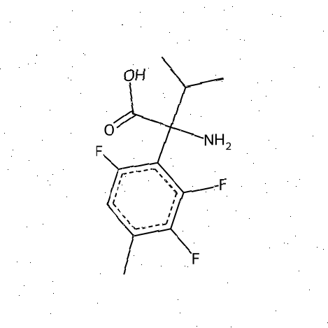 Cc1cc(F)c(C(N)(C(=O)O)C(C)C)c(F)c1F